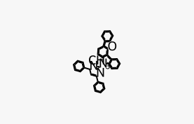 CN1C(n2c3ccccc3c3c4oc5ccccc5c4ccc32)=NC(c2ccccc2)=CC1c1ccccc1